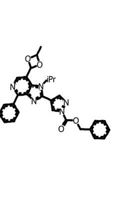 CC1OC(c2cnc(-c3ccccc3)c3nc(-c4cnn(C(=O)OCc5ccccc5)c4)n(C(C)C)c23)O1